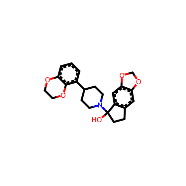 OC1(N2CCC(c3cccc4c3OCCO4)CC2)CCc2cc3c(cc21)OCO3